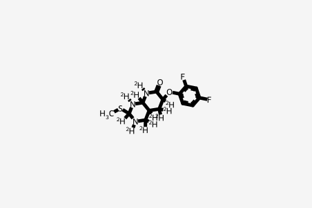 [2H]N1C([2H])(SC)N([2H])C2([2H])N([2H])C(=O)C([2H])(Oc3ccc(F)cc3F)C([2H])([2H])C2([2H])C1([2H])[2H]